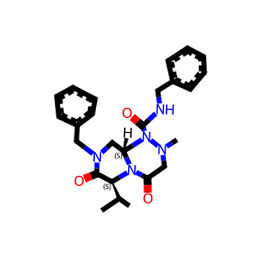 CC(C)[C@H]1C(=O)N(Cc2ccccc2)C[C@H]2N1C(=O)CN(C)N2C(=O)NCc1ccccc1